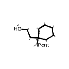 CCCCCC1(CCO)CCCCC1